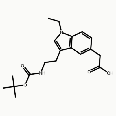 CCn1cc(CCNC(=O)OC(C)(C)C)c2cc(CC(=O)O)ccc21